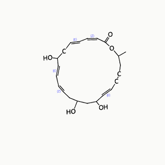 CC1CCC/C=C/C(O)CC(O)C/C=C\C=C\C(O)C/C=C/C=C\C(=O)O1